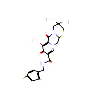 CC1(C)CSC2Cn3cc(C(=O)NCc4ccc(F)cc4F)c(=O)c(O)c3C(=O)N2C1